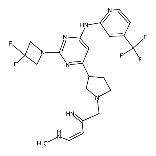 CN/C=C\C(=N)CN1CCC(c2cc(Nc3cc(C(F)(F)F)ccn3)nc(N3CC(F)(F)C3)n2)C1